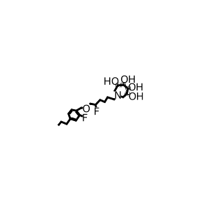 CCCc1ccc(COCC(F)CCCCN2C[C@H](O)[C@@H](O)[C@H](O)[C@@H](O)C2)c(F)c1